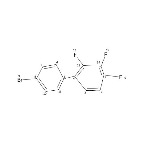 Fc1ccc(-c2ccc(Br)cc2)c(F)c1F